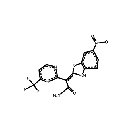 NC(=O)/C(=C1\Nc2ccc([N+](=O)[O-])cc2S1)c1nccc(C(F)(F)F)n1